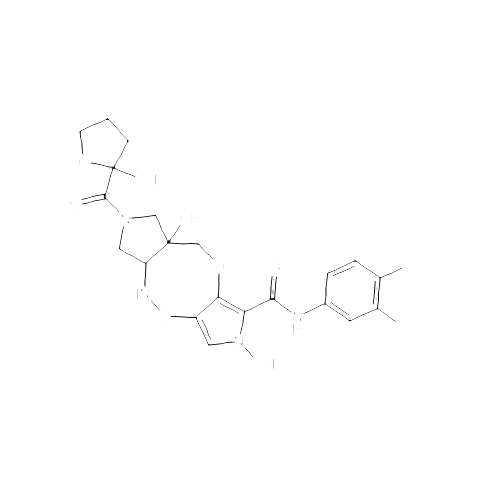 Cc1cc(NC(=O)c2c3c(cn2C)SNC2CN(C(=O)C4(C)CCCO4)CC2(C)CO3)ccc1F